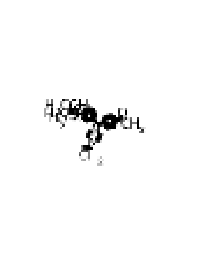 C=CCN1CCN(C(c2ccc(C(C)=O)cc2)c2cccc(O[Si](C)(C)C(C)(C)C)c2)CC1